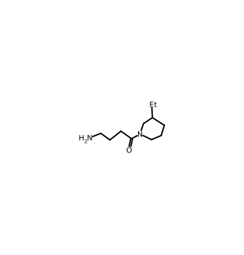 CCC1CCCN(C(=O)CCCN)C1